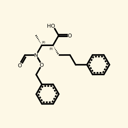 C[C@H]([C@@H](CCCc1ccccc1)C(=O)O)N(C=O)OCc1ccccc1